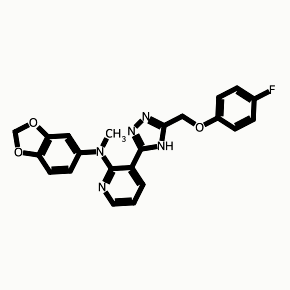 CN(c1ccc2c(c1)OCO2)c1ncccc1-c1nnc(COc2ccc(F)cc2)[nH]1